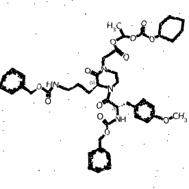 COc1ccc(C[C@H](NC(=O)OCc2ccccc2)C(=O)N2CCN(CC(=O)OC(C)OC(=O)OC3CCCCC3)C(=O)[C@@H]2CCCNC(=O)OCc2ccccc2)cc1